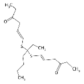 CCCCC(CC)(SC=CCC(=O)CC)SC=CCC(=O)CC